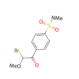 CNS(=O)(=O)c1ccc(C(=O)C(Br)OC)cc1